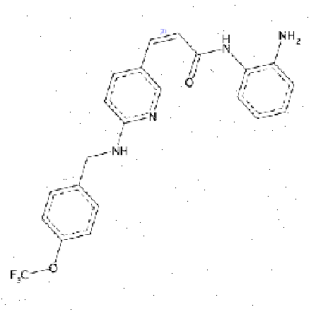 Nc1ccccc1NC(=O)/C=C\c1ccc(NCc2ccc(OC(F)(F)F)cc2)nc1